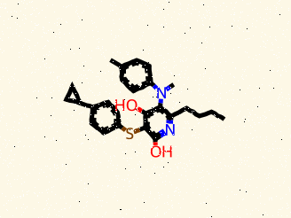 CCCCc1nc(O)c(Sc2ccc(C3CC3)cc2)c(O)c1N(C)c1ccc(C)cc1